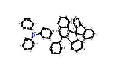 c1ccc(-c2c3c(c4ccccc4c2-c2ccc(N(c4ccccc4)c4ccccc4)cc2)C2(c4ccccc4-c4ccccc42)c2ccccc2-3)cc1